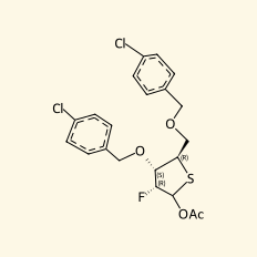 CC(=O)OC1S[C@H](COCc2ccc(Cl)cc2)[C@@H](OCc2ccc(Cl)cc2)[C@H]1F